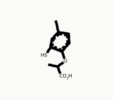 Cc1ccc(OC(C)C(=O)O)c(S)c1